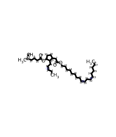 CC/C=C\CC1C(CC(=O)OCCCCCCCC/C=C\C/C=C\CCCCC)CCC1OC(=O)CCCN(C)C